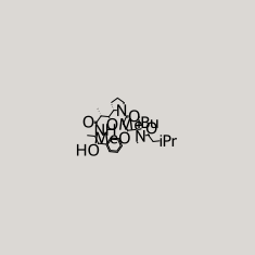 CCC(C)[C@@H]([C@@H](CC(=O)N1CCC[C@H]1[C@H](OC)[C@@H](C)C(=O)NC(C)[C@@H](O)c1ccccc1)OC)N(C)C(=O)CC(C)C